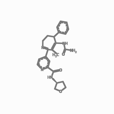 CC1=C(NC(N)=O)C(c2ccccc2)CCN=C1c1ccnc(C(=O)N[C@H]2CCOC2)c1